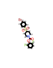 O=C(Oc1c(F)cccc1F)N1CCC(S(=O)(=O)c2ccc(Br)cc2)CC1